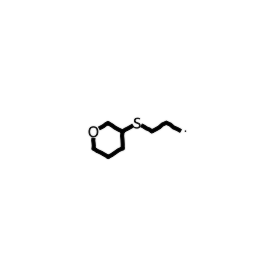 [CH2]CCSC1CCCOC1